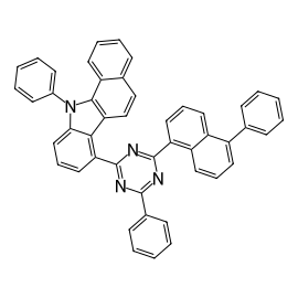 c1ccc(-c2nc(-c3cccc4c(-c5ccccc5)cccc34)nc(-c3cccc4c3c3ccc5ccccc5c3n4-c3ccccc3)n2)cc1